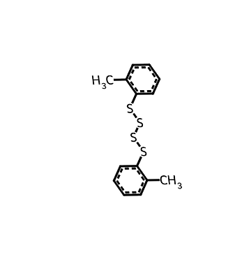 Cc1ccccc1SSSSc1ccccc1C